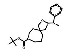 C[C@H](c1ccccc1)N1CC2(CCCN(C(=O)OC(C)(C)C)CC2)CO1